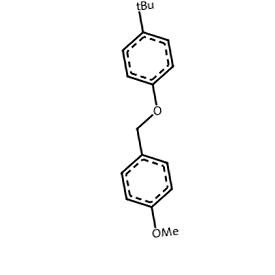 COc1ccc(COc2ccc(C(C)(C)C)cc2)cc1